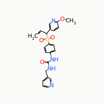 C=CC(c1ccc(OC)nc1)S(=O)(=O)c1ccc(NC(=O)NCc2cccnc2)cc1